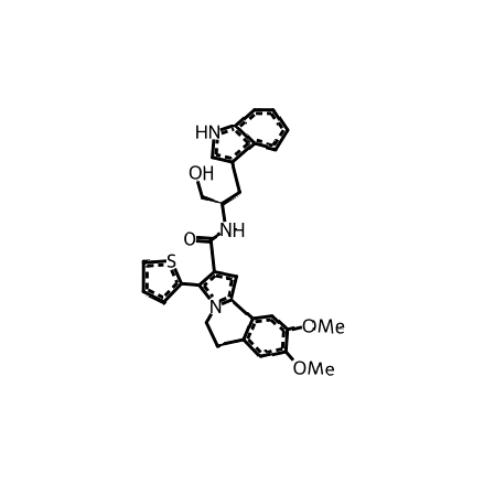 COc1cc2c(cc1OC)-c1cc(C(=O)N[C@@H](CO)Cc3c[nH]c4ccccc34)c(-c3cccs3)n1CC2